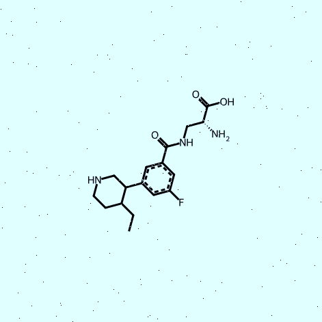 CCC1CCNCC1c1cc(F)cc(C(=O)NC[C@@H](N)C(=O)O)c1